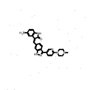 Bc1ccc2c(c1)C(=Cc1ccc3c(-c4ccc(N5CCN(C)CC5)nc4)n[nH]c3c1)C(=O)N2